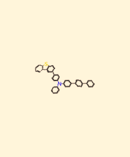 C1=CC2Sc3ccc(-c4ccc(N(c5ccccc5)c5ccc(-c6ccc(-c7ccccc7)cc6)cc5)cc4)cc3C2C=C1